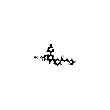 CCc1cc(C)ncc1-c1cc(C2=CCCN(C(=O)CCn3cccn3)C2)c(F)c2[nH]c(C(=O)O)cc12